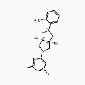 Cc1cc(C)nc(N2C[C@H]3C[C@@H](c4ccccc4C(F)(F)F)C[C@H]3C2)c1